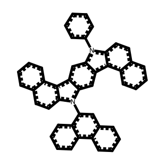 c1ccc(-n2c3cc4c5c6ccccc6ccc5n(-c5cc6ccccc6c6ccccc56)c4cc3c3c4ccccc4ccc32)cc1